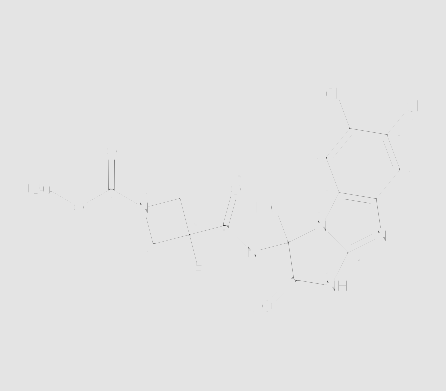 CC(C)(C)OC(=O)N1CC(F)(C(=O)NC2(C(F)(F)F)C(=O)Nc3nc4cc(Cl)c(Cl)cc4n32)C1